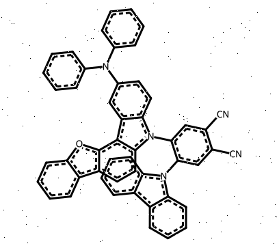 N#Cc1cc(-n2c3ccccc3c3ccccc32)c(-n2c3ccc(N(c4ccccc4)c4ccccc4)cc3c3c4oc5ccccc5c4ccc32)cc1C#N